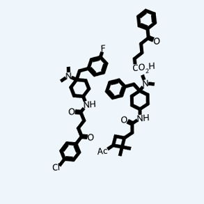 CC(=O)C1CC(CC(=O)NC2CCC(Cc3ccccc3)(N(C)C)CC2)C1(C)C.CN(C)C1(Cc2cccc(F)c2)CCC(NC(=O)CCC(=O)c2ccc(Cl)cc2)CC1.O=C(O)CCCC(=O)c1ccccc1